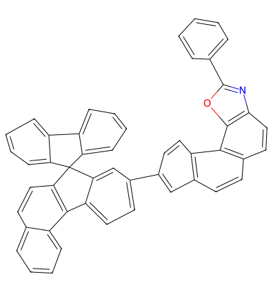 c1ccc(-c2nc3ccc4ccc5cc(-c6ccc7c(c6)C6(c8ccccc8-c8ccccc86)c6ccc8ccccc8c6-7)ccc5c4c3o2)cc1